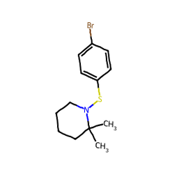 CC1(C)CCCCN1Sc1ccc(Br)cc1